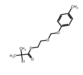 CCC(C)(C)C(=O)OCCOCOc1ccc(C)cc1